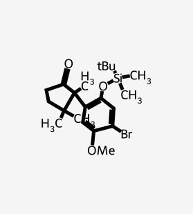 COc1cc(C2(C)C(=O)CCC2(C)C)c(O[Si](C)(C)C(C)(C)C)cc1Br